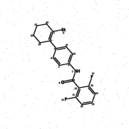 CCC1=C(c2ccc(NC(=O)c3c(F)cccc3F)cc2)CCCC1